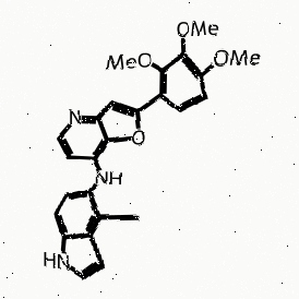 COc1ccc(-c2cc3nccc(Nc4ccc5[nH]ccc5c4C)c3o2)c(OC)c1OC